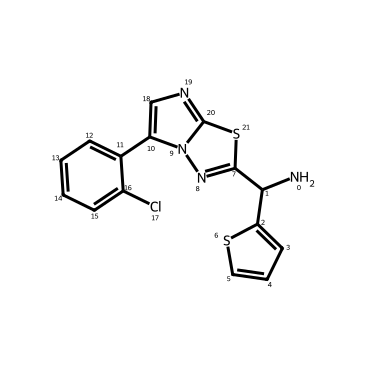 NC(c1cccs1)c1nn2c(-c3ccccc3Cl)cnc2s1